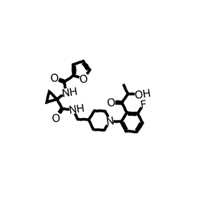 CC(O)C(=O)c1c(F)cccc1N1CCC(CNC(=O)C2(NC(=O)c3ccco3)CC2)CC1